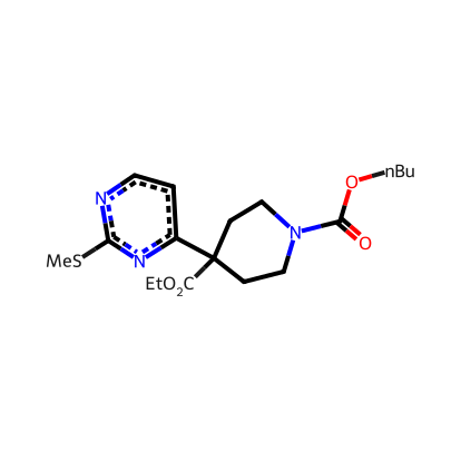 CCCCOC(=O)N1CCC(C(=O)OCC)(c2ccnc(SC)n2)CC1